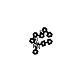 C1=C(C2=CCCc3c2sc2cccc(-c4ccccc4)c32)c2oc3c(-c4nc(-c5ccccc5)nc(-c5ccc(-c6ccccc6)cc5)n4)cccc3c2CC1